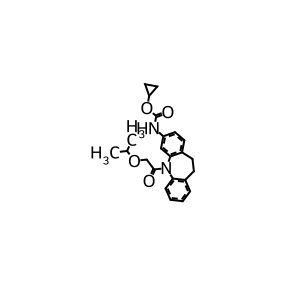 CC(C)OCC(=O)N1c2ccccc2CCc2ccc(NC(=O)OC3CC3)cc21